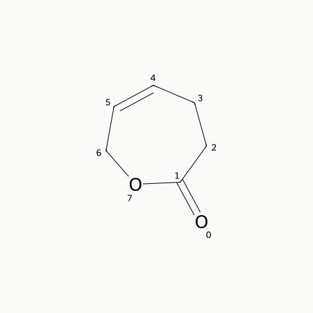 O=C1CCC=CCO1